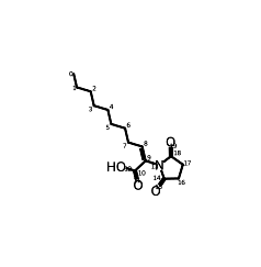 CCCCCCCCC=C(C(=O)O)N1C(=O)CCC1=O